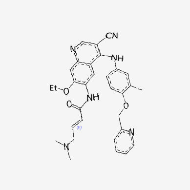 CCOc1cc2ncc(C#N)c(Nc3ccc(OCc4ccccn4)c(C)c3)c2cc1NC(=O)/C=C/CN(C)C